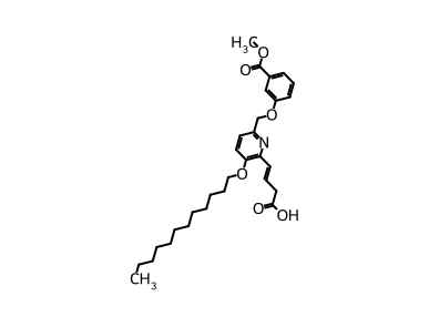 CCCCCCCCCCCCOc1ccc(COc2cccc(C(=O)OC)c2)nc1C=CCC(=O)O